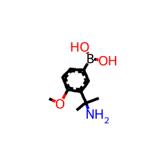 COc1ccc(B(O)O)cc1C(C)(C)N